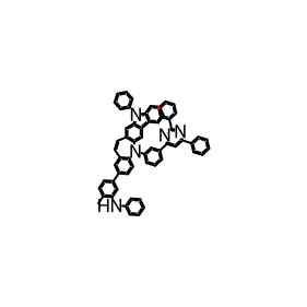 Cc1ccc(-c2ccc3c(c2)C=Cc2cc4c(cc2N3c2cccc(-c3cc(-c5ccccc5)nc(-c5ccccc5)n3)c2)c2ccccc2n4-c2ccccc2)cc1Nc1ccccc1